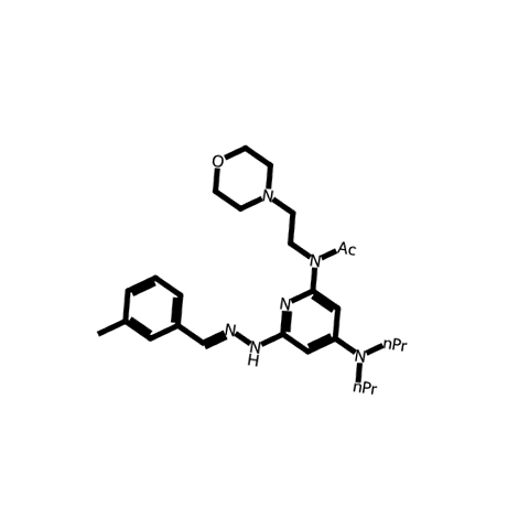 CCCN(CCC)c1cc(N/N=C/c2cccc(C)c2)nc(N(CCN2CCOCC2)C(C)=O)c1